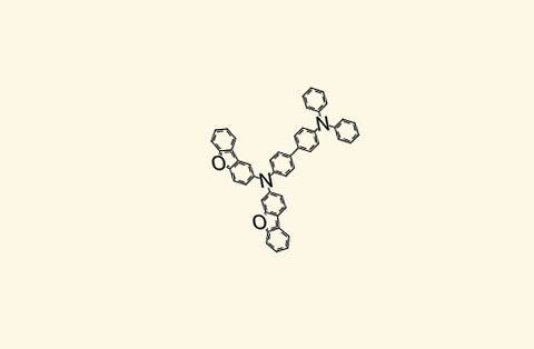 c1ccc(N(c2ccccc2)c2ccc(-c3ccc(N(c4ccc5c(c4)oc4ccccc45)c4ccc5oc6ccccc6c5c4)cc3)cc2)cc1